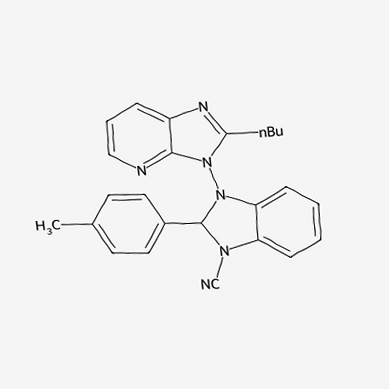 CCCCc1nc2cccnc2n1N1c2ccccc2N(C#N)C1c1ccc(C)cc1